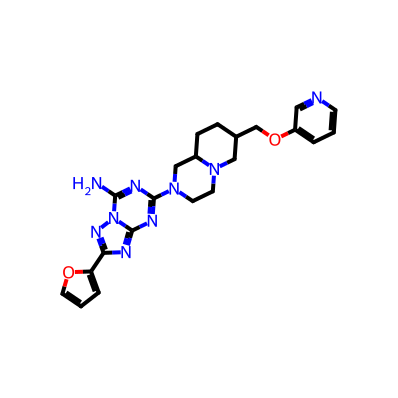 Nc1nc(N2CCN3CC(COc4cccnc4)CCC3C2)nc2nc(-c3ccco3)nn12